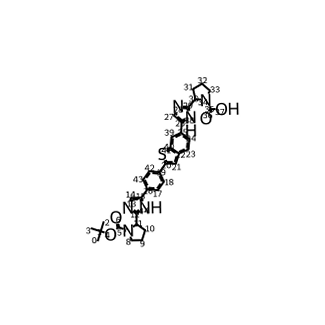 CC(C)(C)OC(=O)N1CCCC1c1ncc(-c2ccc(-c3cc4ccc(-c5cnc(C6CCCN6C(=O)O)[nH]5)cc4s3)cc2)[nH]1